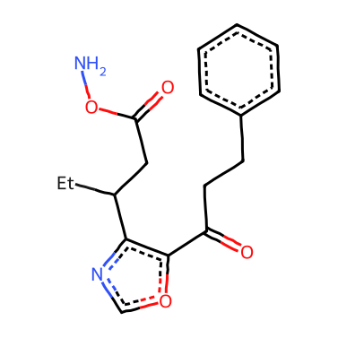 CCC(CC(=O)ON)c1ncoc1C(=O)CCc1ccccc1